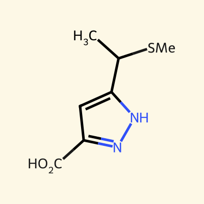 CSC(C)c1cc(C(=O)O)n[nH]1